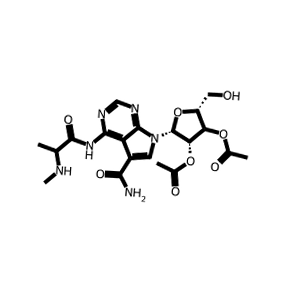 CNC(C)C(=O)Nc1ncnc2c1c(C(N)=O)cn2[C@@H]1O[C@H](CO)C(OC(C)=O)[C@@H]1OC(C)=O